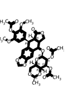 COc1cc([C@@H]2c3cc4c(cc3C(O[C@@H]3O[C@@H]5CO[C@@H](C)O[C@H]5[C@H](OC(C)=O)[C@H]3OC(C)=O)C3COC(=O)[C@@H]32)OCO4)cc(OC)c1OC(C)=O